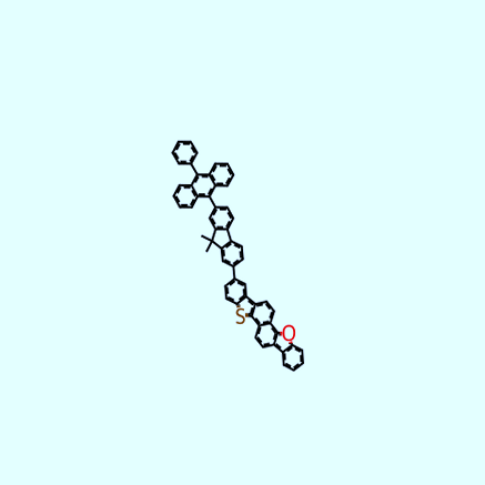 CC1(C)c2cc(-c3ccc4sc5c(ccc6c5ccc5c7ccccc7oc56)c4c3)ccc2-c2ccc(-c3c4ccccc4c(-c4ccccc4)c4ccccc34)cc21